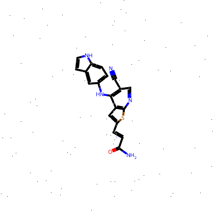 N#Cc1cnc2sc(/C=C/C(N)=O)cc2c1Nc1ccc2[nH]ccc2c1